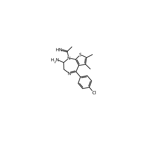 CC(=N)N1c2sc(C)c(C)c2C(c2ccc(Cl)cc2)=NCC1N